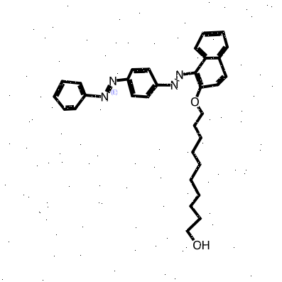 OCCCCCCCCCCOc1ccc2ccccc2c1N=Nc1ccc(/N=N/c2ccccc2)cc1